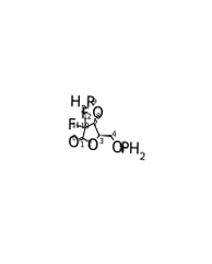 O=C1O[C@H](COP)[C@H](OP)C1(F)F